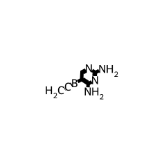 C=C=Bc1cnc(N)nc1N